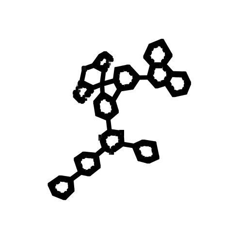 c1ccc(-c2ccc(-c3nc(-c4ccccc4)nc(-c4ccc5c(c4)-c4cc(-c6cc7ccccc7c7ccccc67)ccc4C54c5ccccc5Oc5ccccc54)n3)cc2)cc1